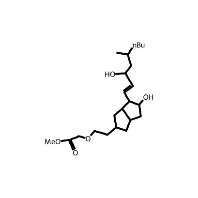 CCCCC(C)CC(O)/C=C/C1C(O)CC2CC(CCOCC(=O)OC)CC21